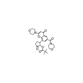 CC(C)(C)C(=O)OC1NCCC1c1cc(C(=O)N2CCOCC2)cc2c(=O)cc(N3CCOCC3)oc12